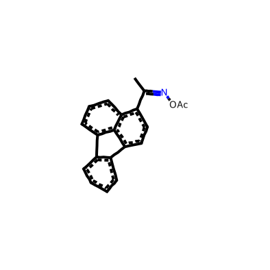 CC(=O)O/N=C(/C)c1ccc2c3c(cccc13)-c1ccccc1-2